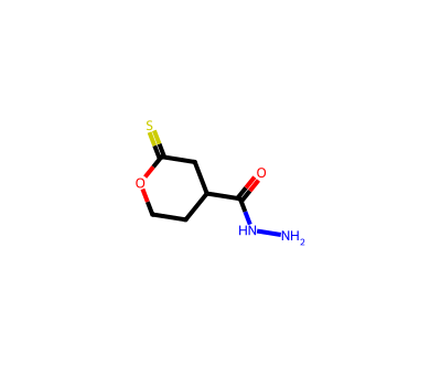 NNC(=O)C1CCOC(=S)C1